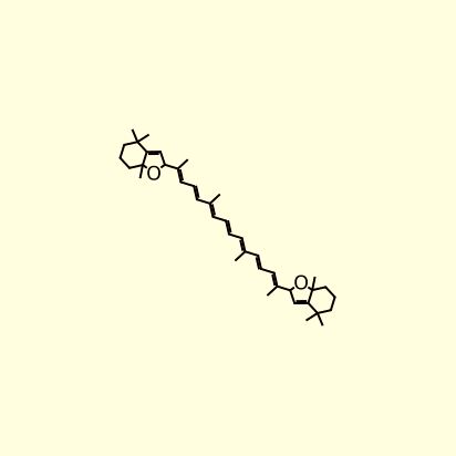 CC(/C=C/C=C(\C)C1C=C2C(C)(C)CCCC2(C)O1)=C\C=C\C=C(C)\C=C\C=C(/C)C1C=C2C(C)(C)CCCC2(C)O1